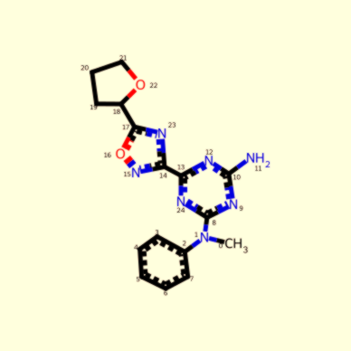 CN(c1ccccc1)c1nc(N)nc(-c2noc(C3CCCO3)n2)n1